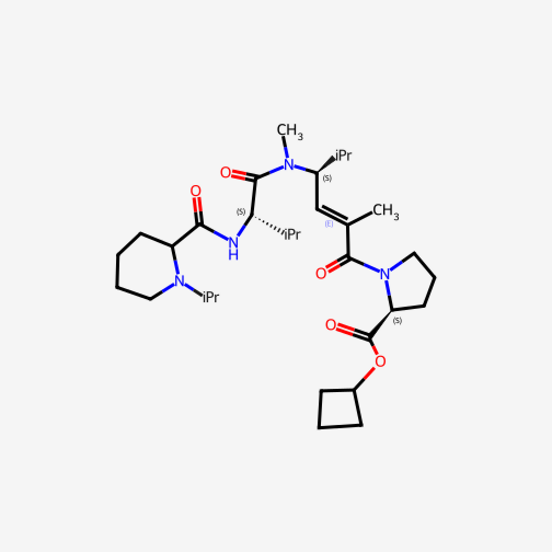 C/C(=C\[C@H](C(C)C)N(C)C(=O)[C@@H](NC(=O)C1CCCCN1C(C)C)C(C)C)C(=O)N1CCC[C@H]1C(=O)OC1CCC1